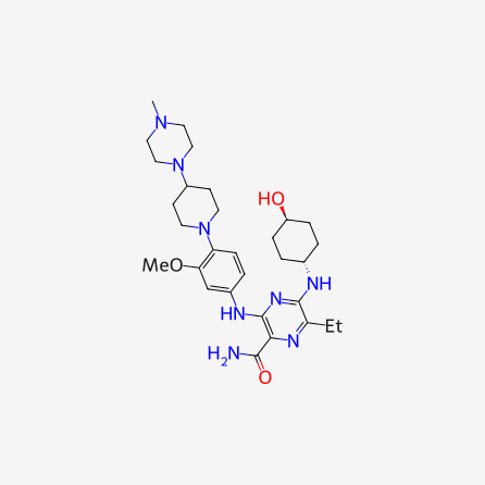 CCc1nc(C(N)=O)c(Nc2ccc(N3CCC(N4CCN(C)CC4)CC3)c(OC)c2)nc1N[C@H]1CC[C@H](O)CC1